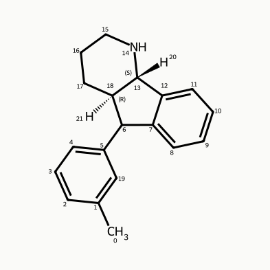 Cc1cccc(C2c3ccccc3[C@H]3NCCC[C@H]23)c1